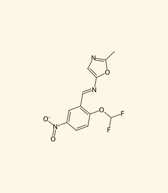 Cc1ncc(N=Cc2cc([N+](=O)[O-])ccc2OC(F)F)o1